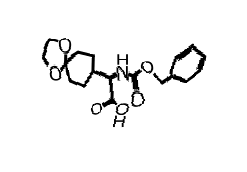 O=C(NC(C(=O)O)C1CCC2(CC1)OCCO2)OCc1ccccc1